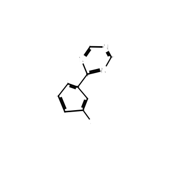 Clc1cccc(-c2ncncn2)c1